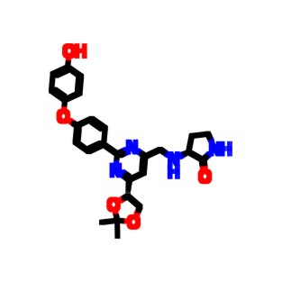 CC1(C)OC[C@H](c2cc(CN[C@H]3CCNC3=O)nc(-c3ccc(Oc4ccc(O)cc4)cc3)n2)O1